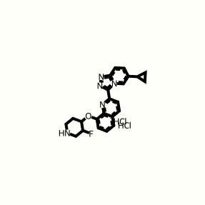 Cl.Cl.FC1CNCCC1Oc1cccc2ccc(-c3nnc4ccc(C5CC5)cn34)nc12